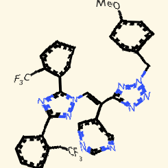 COc1ccc(Cn2nnc(C(=Cn3nc(-c4ccccc4C(F)(F)F)nc3-c3ccccc3C(F)(F)F)c3cncnc3)n2)cc1